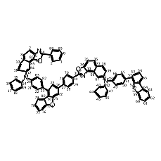 c1ccc(-c2nc3ccc4ccc(N(c5ccccc5)c5ccc(-c6cc(-c7ccc(-c8nc9c(ccc%10ccc(N(c%11ccccc%11)c%11ccc(-c%12cccc%13c%12sc%12ccccc%12%13)cc%11)cc%109)o8)cc7)cc7oc8ccccc8c67)cc5)cc4c3o2)cc1